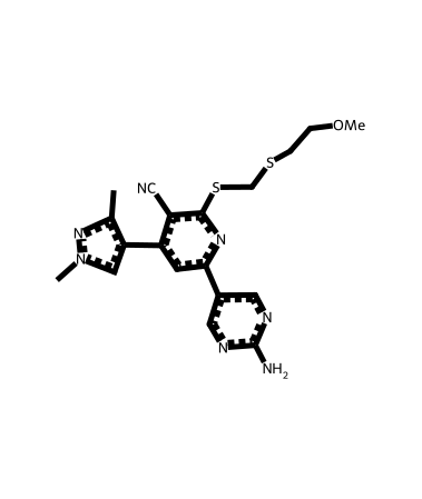 COCCSCSc1nc(-c2cnc(N)nc2)cc(-c2cn(C)nc2C)c1C#N